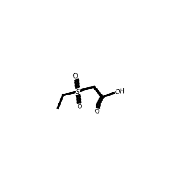 CCS(=O)(=O)CC(=O)O